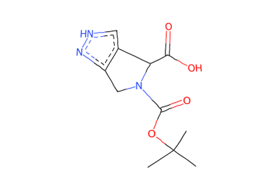 CC(C)(C)OC(=O)N1Cc2n[nH]cc2C1C(=O)O